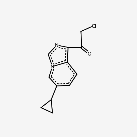 O=C(CCl)c1ncn2cc(C3CC3)ccc12